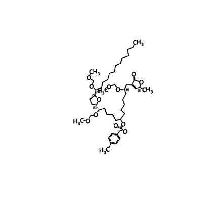 CCCCCCCCCCCC[C@H](OCOC)[C@@H]1CC[C@@H](C(CCCCC(CCCCC[C@H](CC2=C[C@H](C)OC2=O)OCOC)OS(=O)(=O)c2ccc(C)cc2)OCOC)O1